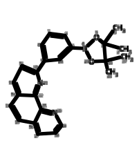 CC1(C)OB(c2cccc(-c3ccc4ccc5cccnc5c4n3)c2)OC1(C)C